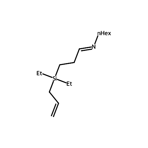 C=CC[Si](CC)(CC)CCC=NCCCCCC